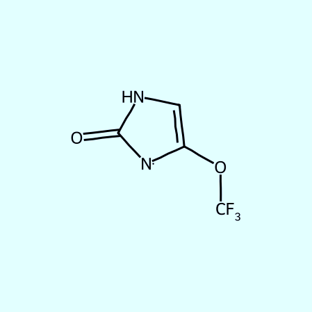 O=C1[N]C(OC(F)(F)F)=CN1